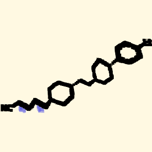 CCc1ccc([C@H]2CC[C@H](CC[C@H]3CC[C@H](/C=C/C=C/C#N)CC3)CC2)cc1